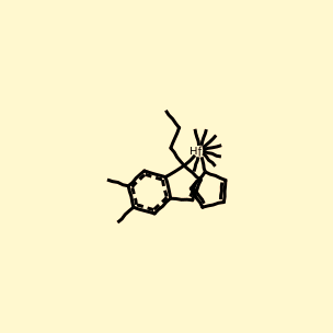 CCC[C]1([Hf]([CH3])([CH3])([CH3])([CH3])([CH3])([CH3])([CH3])[CH]2C=CC=C2)C=Cc2cc(C)c(C)cc21